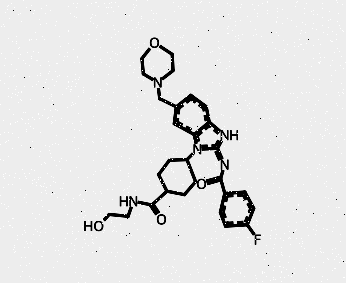 O=C(/N=c1/[nH]c2ccc(CN3CCOCC3)cc2n1C1CCC(C(=O)NCCO)CC1)c1ccc(F)cc1